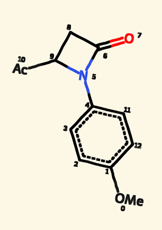 COc1ccc(N2C(=O)CC2C(C)=O)cc1